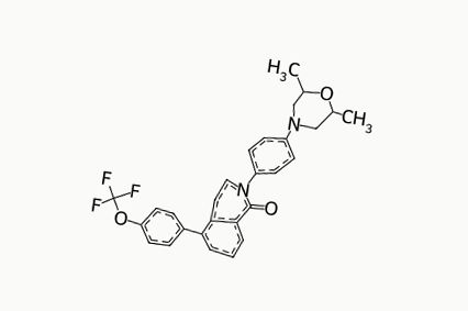 CC1CN(c2ccc(-n3ccc4c(-c5ccc(OC(F)(F)F)cc5)cccc4c3=O)cc2)CC(C)O1